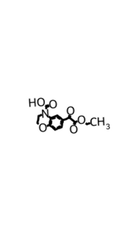 CCOC(=O)C(=O)c1ccc2c(c1)N(C(=O)O)CCO2